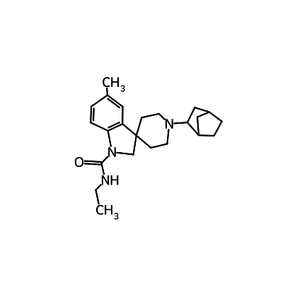 CCNC(=O)N1CC2(CCN(C3CC4CCC3C4)CC2)c2cc(C)ccc21